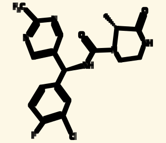 C[C@@H]1C(=O)NCCN1C(=O)N[C@H](c1cnc(C(F)(F)F)nc1)c1ccc(F)c(Cl)c1